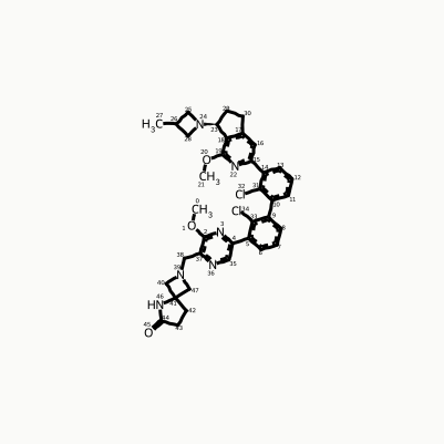 COc1nc(-c2cccc(-c3cccc(-c4cc5c(c(OC)n4)[C@@H](N4CC(C)C4)CC5)c3Cl)c2Cl)cnc1CN1CC2(CCC(=O)N2)C1